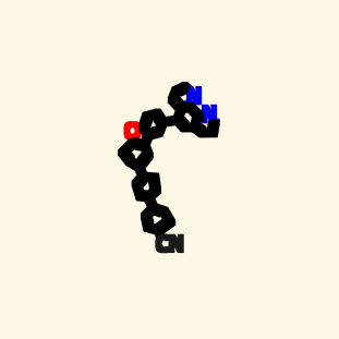 N#Cc1ccc(-c2ccc(-c3ccc4oc5ccc(-c6cc7cccnc7c7ncccc67)cc5c4c3)cc2)cc1